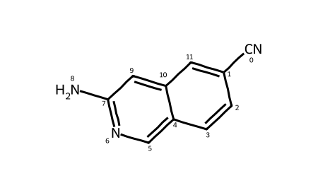 N#Cc1ccc2cnc(N)cc2c1